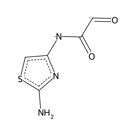 Nc1nc([N]C(=O)[C]=O)cs1